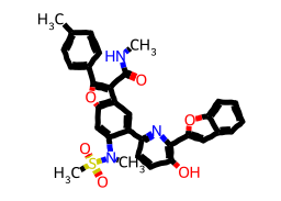 CNC(=O)c1c(-c2ccc(C)cc2)oc2cc(N(C)S(C)(=O)=O)c(-c3ccc(O)c(-c4cc5ccccc5o4)n3)cc12